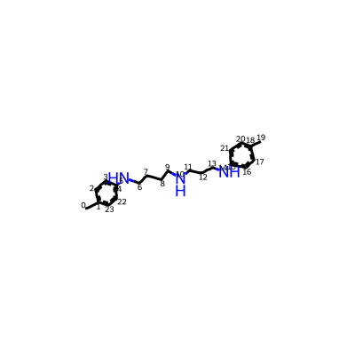 Cc1ccc(NCCCCNCCCNc2ccc(C)cc2)cc1